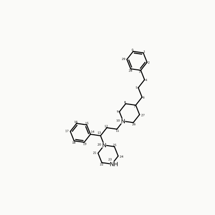 c1ccc(CCCC2CCN(CCC(c3ccccc3)N3CCNCC3)CC2)cc1